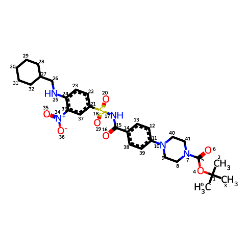 CC(C)(C)OC(=O)N1CCN(c2ccc(C(=O)NS(=O)(=O)c3ccc(NCC4CCCCC4)c([N+](=O)[O-])c3)cc2)CC1